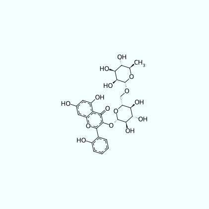 C[C@H]1O[C@H](OC[C@H]2O[C@@H](Oc3c(-c4ccccc4O)oc4cc(O)cc(O)c4c3=O)[C@H](O)[C@@H](O)[C@@H]2O)[C@@H](O)[C@@H](O)[C@@H]1O